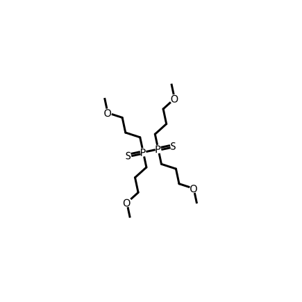 COCCCP(=S)(CCCOC)P(=S)(CCCOC)CCCOC